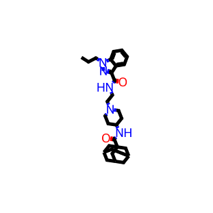 CCCn1nc(C(=O)NCCN2CCC(NC(=O)C34CC5CC(CC(C5)C3)C4)CC2)c2ccccc21